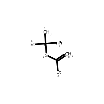 C=C(CC)SC(C)(CC)CCC